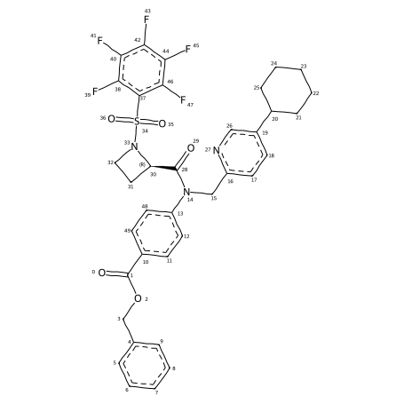 O=C(OCc1ccccc1)c1ccc(N(Cc2ccc(C3CCCCC3)cn2)C(=O)[C@H]2CCN2S(=O)(=O)c2c(F)c(F)c(F)c(F)c2F)cc1